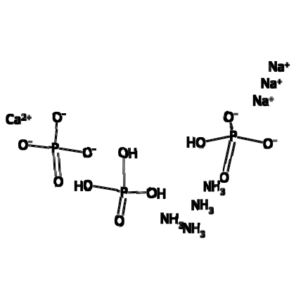 N.N.N.N.O=P(O)(O)O.O=P([O-])([O-])O.O=P([O-])([O-])[O-].[Ca+2].[Na+].[Na+].[Na+]